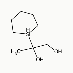 CC(O)(CO)[SiH]1CCCCC1